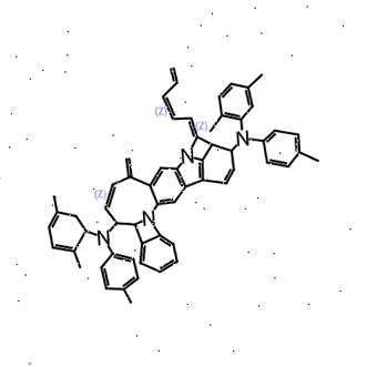 C=C/C=C\C=C1\C2c3c(c4cc5c(cc4n31)C(=C)/C=C\C(N(c1ccc(C)cc1)C1CC(C)=CC=C1C)C1c3ccccc3N51)C=CC2N(c1ccc(C)cc1)c1cc(C)ccc1C